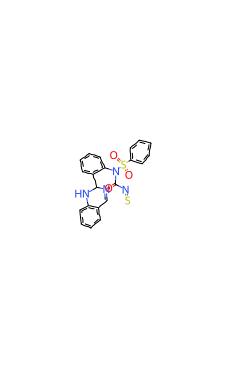 O=C(N=S)N(c1ccccc1C1N=Cc2ccccc2N1)S(=O)(=O)c1ccccc1